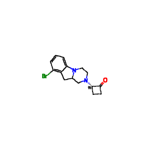 O=C1CC[C@@H]1N1CCN2c3cccc(Br)c3CC2C1